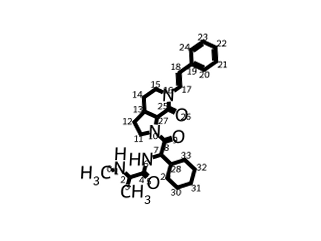 CNC(C)C(=O)NC(C(=O)N1CCC2CCN(C=Cc3ccccc3)C(=O)C21)C1CCCCC1